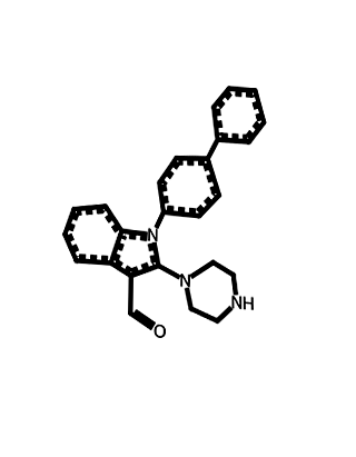 O=Cc1c(N2CCNCC2)n(-c2ccc(-c3ccccc3)cc2)c2ccccc12